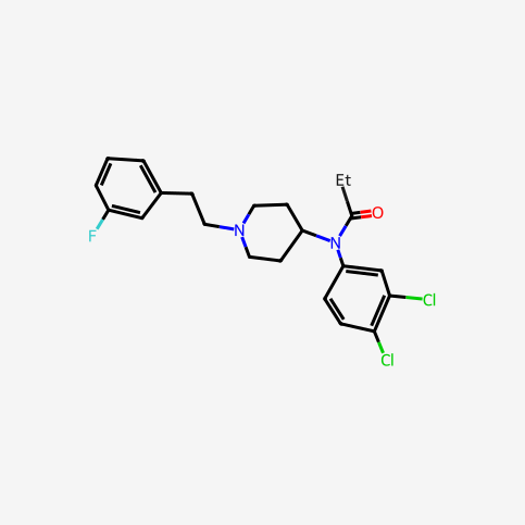 CCC(=O)N(c1ccc(Cl)c(Cl)c1)C1CCN(CCc2cccc(F)c2)CC1